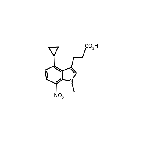 Cn1cc(CCC(=O)O)c2c(C3CC3)ccc([N+](=O)[O-])c21